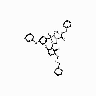 CN(C(CCn1c(=O)ccn(COCc2ccccc2)c1=O)C(=O)OCc1ccccc1)S(=O)(=O)c1ccc(Oc2ccccc2)cc1